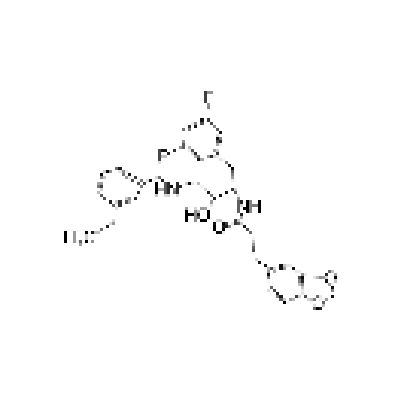 CCc1cccc(CNCC(O)C(Cc2cc(F)cc(F)c2)NC(=O)CCc2ccc3c(c2)OCO3)c1